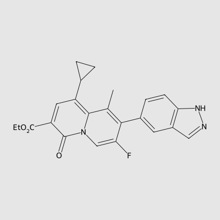 CCOC(=O)c1cc(C2CC2)c2c(C)c(-c3ccc4[nH]ncc4c3)c(F)cn2c1=O